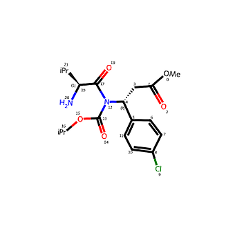 COC(=O)C[C@H](c1ccc(Cl)cc1)N(C(=O)OC(C)C)C(=O)[C@@H](N)C(C)C